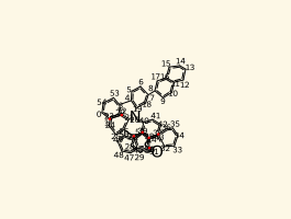 c1ccc(-c2ccc(-c3ccc4ccccc4c3)cc2N(c2ccccc2-c2ccc3oc4ccccc4c3c2)c2cccc3sc4ccccc4c23)cc1